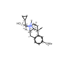 COc1ccc2c(c1)[C@@]1(C)CCN(CC3CC3)[C@H](C2)[C@H]1N(C)CC(=O)O